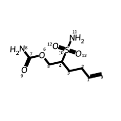 C=CCCC(COC(N)=O)S(N)(=O)=O